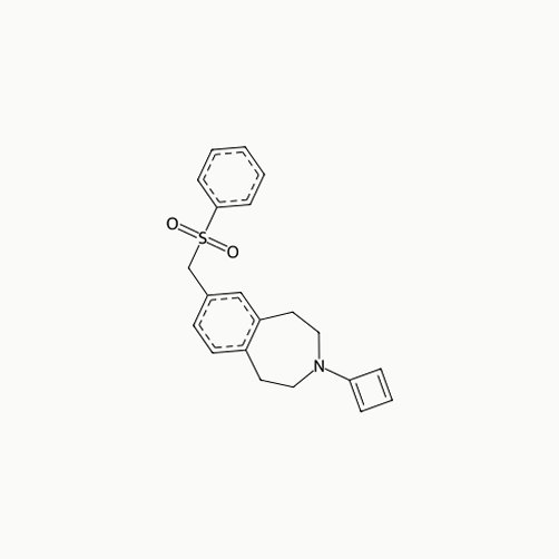 O=S(=O)(Cc1ccc2c(c1)CCN(C1=CC=C1)CC2)c1ccccc1